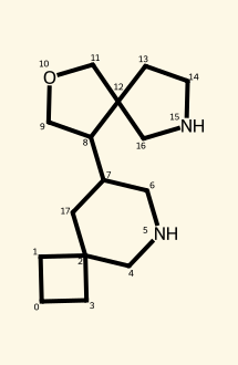 C1CC2(C1)CNCC(C1COCC13CCNC3)C2